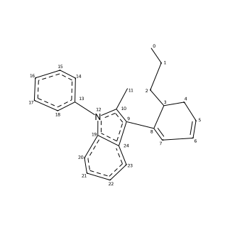 CCCC1CC=CC=C1c1c(C)n(-c2ccccc2)c2ccccc12